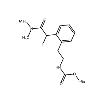 CON(C)C(=O)C(I)c1ccccc1CCNC(=O)OC(C)(C)C